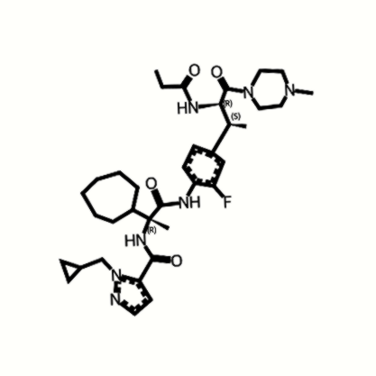 CCC(=O)N[C@@H](C(=O)N1CCN(C)CC1)[C@@H](C)c1ccc(NC(=O)[C@](C)(NC(=O)c2ccnn2CC2CC2)C2CCCCCC2)c(F)c1